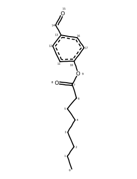 CCCCCCCC(=O)Oc1ccc(C=O)cc1